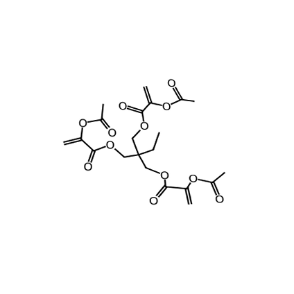 C=C(OC(C)=O)C(=O)OCC(CC)(COC(=O)C(=C)OC(C)=O)COC(=O)C(=C)OC(C)=O